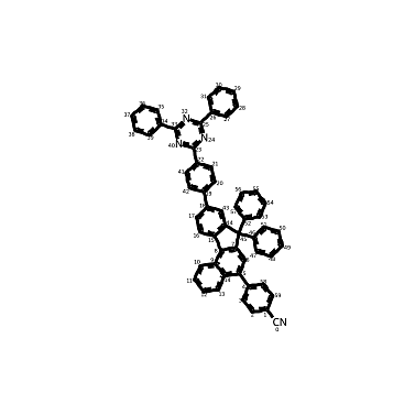 N#Cc1ccc(-c2cc3c(c4ccccc24)-c2ccc(-c4ccc(-c5nc(-c6ccccc6)nc(-c6ccccc6)n5)cc4)cc2C3(c2ccccc2)c2ccccc2)cc1